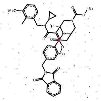 COc1cccc(CN(C(=O)C2=C(c3ccc(CN4C(=O)c5ccccc5C4=O)cc3)CC3CN(C(=O)OC(C)(C)C)C[C@H]2N3C(=O)OC(C)(C)C)C2CC2)c1C